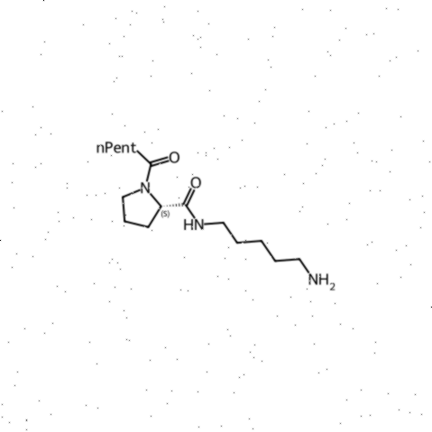 CCCCCC(=O)N1CCC[C@H]1C(=O)NCCCCCN